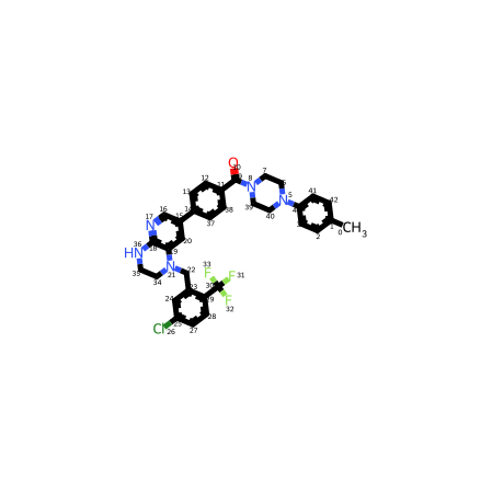 Cc1ccc(N2CCN(C(=O)c3ccc(-c4cnc5c(c4)N(Cc4cc(Cl)ccc4C(F)(F)F)CCN5)cc3)CC2)cc1